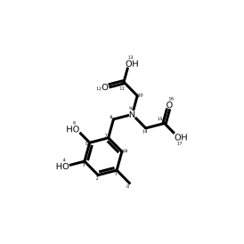 Cc1cc(O)c(O)c(CN(CC(=O)O)CC(=O)O)c1